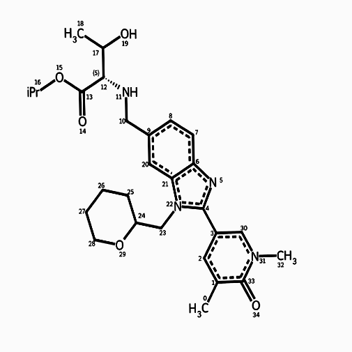 Cc1cc(-c2nc3ccc(CN[C@H](C(=O)OC(C)C)C(C)O)cc3n2CC2CCCCO2)cn(C)c1=O